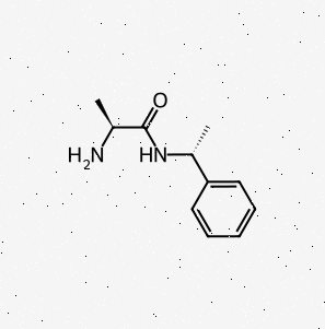 C[C@H](N)C(=O)N[C@H](C)c1ccccc1